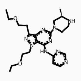 CCOCCc1nn(CCOCC)c2c(Nc3ccncn3)nc(N3CCN[C@H](C)C3)nc12